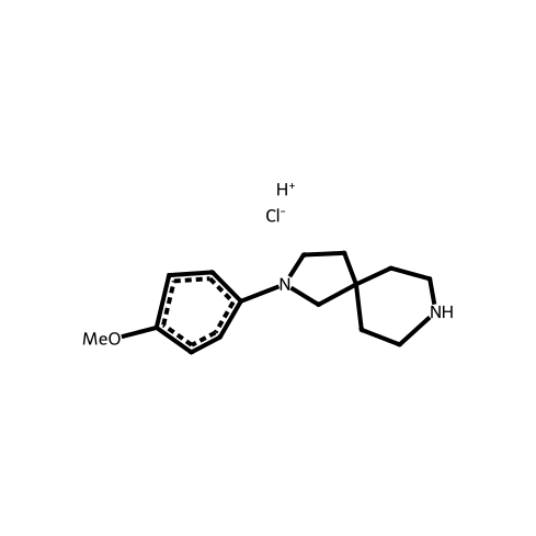 COc1ccc(N2CCC3(CCNCC3)C2)cc1.[Cl-].[H+]